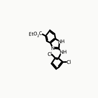 CCOC(=O)c1ccc2[nH]c(Nc3c(Cl)cccc3Cl)nc2c1